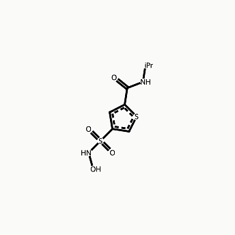 CC(C)NC(=O)c1cc(S(=O)(=O)NO)cs1